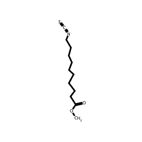 COC(=O)CCCCCCCCCN=C=S